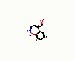 O=CC1=CC=NOc2ccccc21